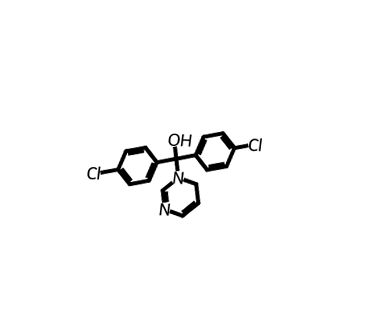 OC(c1ccc(Cl)cc1)(c1ccc(Cl)cc1)N1C=NC=CC1